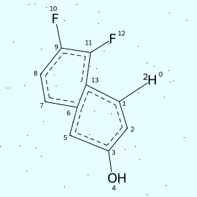 [2H]c1cc(O)cc2ccc(F)c(F)c12